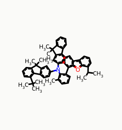 Cc1cccc(-c2cccc3c2oc2c(C(C)C)cccc23)c1N(c1ccc2c(c1)C(C)(C)c1ccccc1-2)c1ccc2c(c1)C(C)(C)c1cccc(C(C)(C)C)c1-2